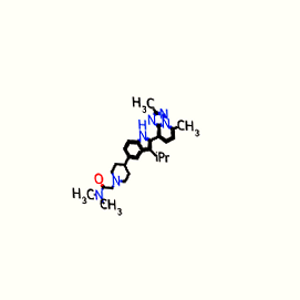 Cc1nc2c(-c3[nH]c4ccc(C5CCN(CC(=O)N(C)C)CC5)cc4c3C(C)C)ccc(C)n2n1